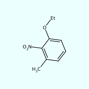 [CH2]COc1cccc(C)c1[N+](=O)[O-]